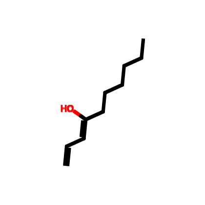 C=CC=C(O)CCCCCC